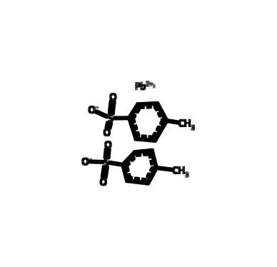 Cc1ccc(S(=O)(=O)[O-])cc1.Cc1ccc(S(=O)(=O)[O-])cc1.[Pb+2]